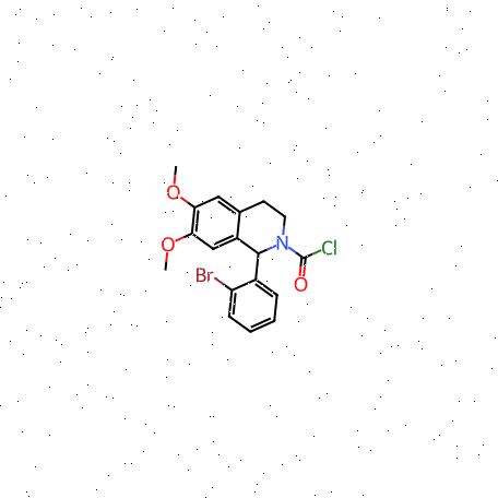 COc1cc2c(cc1OC)C(c1ccccc1Br)N(C(=O)Cl)CC2